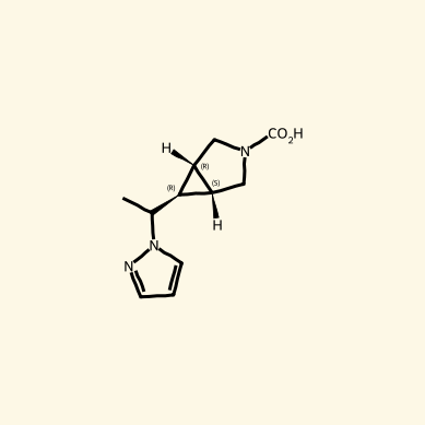 CC([C@H]1[C@@H]2CN(C(=O)O)C[C@@H]21)n1cccn1